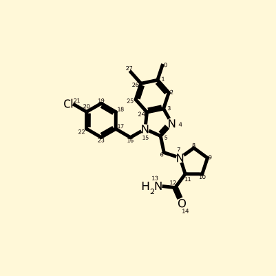 Cc1cc2nc(CN3CCCC3C(N)=O)n(Cc3ccc(Cl)cc3)c2cc1C